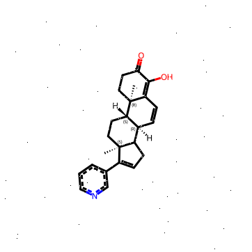 C[C@]12CCC(=O)C(O)=C1C=C[C@H]1C3CC=C(c4cccnc4)[C@@]3(C)CC[C@@H]12